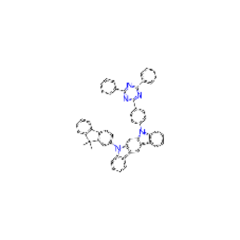 CC1(C)c2ccccc2-c2ccc(-n3c4ccccc4c4cc5c6ccccc6n(-c6ccc(-c7nc(-c8ccccc8)nc(-c8ccccc8)n7)cc6)c5cc43)cc21